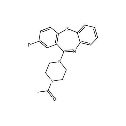 CC(=O)N1CCN(C2=Nc3ccccc3Sc3ccc(F)cc32)CC1